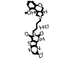 COc1cccc2c1[C@H]1CN(CCCCn3c(=O)[nH]c4c(sc5ncc(Cl)nc54)c3=O)C[C@@H]1CO2.Cl